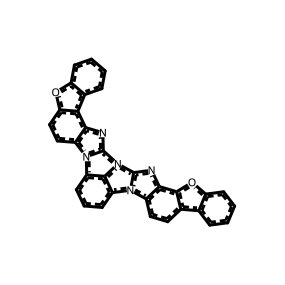 c1ccc2c(c1)oc1c2ccc2c1nc1n2c2cccc3c2n1c1nc2c4c(ccc2n31)oc1ccccc14